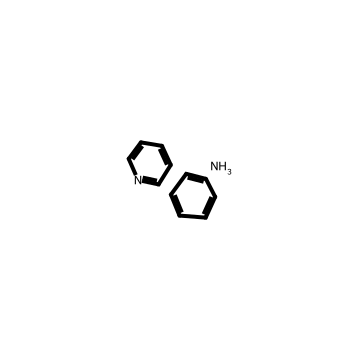 N.c1ccccc1.c1ccncc1